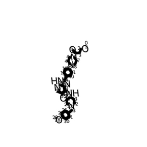 COCCC(=O)N1CCN(c2ccc(-c3nc4c(NC5CCN(Cc6ccc(OC)cc6)CC5)c(Cl)cnc4[nH]3)cc2)CC1